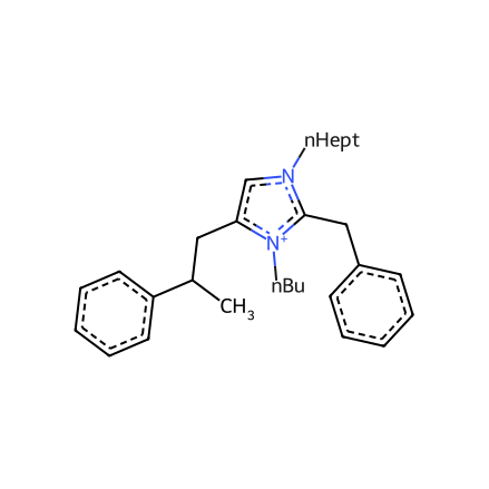 CCCCCCCn1cc(CC(C)c2ccccc2)[n+](CCCC)c1Cc1ccccc1